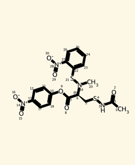 CC(=O)NSC[C@@H](C(=O)Oc1ccc([N+](=O)[O-])cc1)N(C)Sc1ccccc1[N+](=O)[O-]